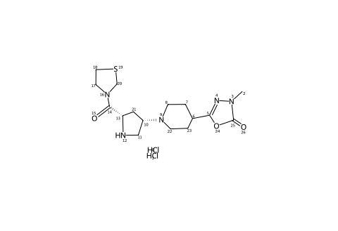 Cl.Cl.Cn1nc(C2CCN([C@@H]3CN[C@H](C(=O)N4CCSC4)C3)CC2)oc1=O